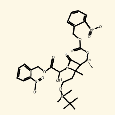 C[C@@H](OC(=O)OCc1ccccc1[N+](=O)[O-])C1C(=O)N(C(O)C(=O)OCc2ccccc2[N+](=O)[O-])C1(C)CCO[Si](C)(C)C(C)(C)C